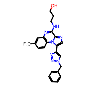 OCCCNc1nc2cc(C(F)(F)F)ccc2n2c(-c3cn(Cc4ccccc4)nn3)cnc12